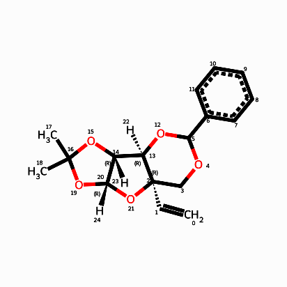 C=C[C@@]12COC(c3ccccc3)O[C@@H]1[C@H]1OC(C)(C)O[C@H]1O2